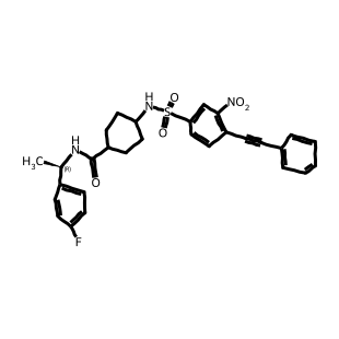 C[C@@H](NC(=O)C1CCC(NS(=O)(=O)c2ccc(C#Cc3ccccc3)c([N+](=O)[O-])c2)CC1)c1ccc(F)cc1